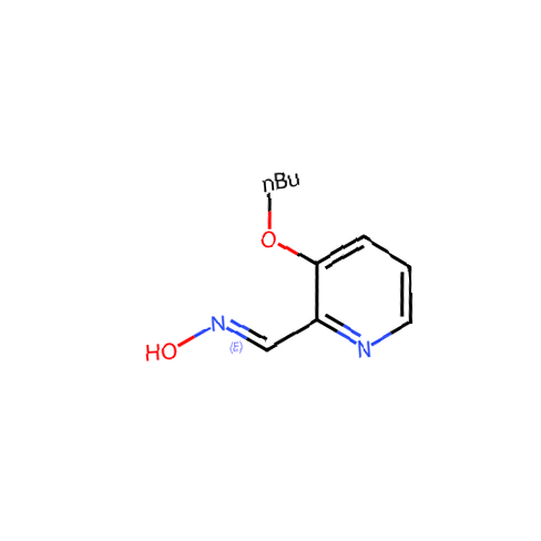 CCCCOc1cccnc1/C=N/O